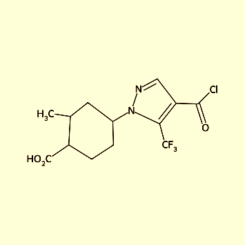 CC1CC(n2ncc(C(=O)Cl)c2C(F)(F)F)CCC1C(=O)O